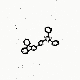 c1ccc(-c2nc(-c3ccccc3)nc(-c3ccc(-c4ccc5c(c4)C4(CCCCC4)c4ccccc4-5)cn3)n2)cc1